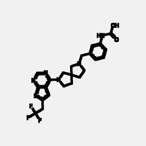 O=C(O)Nc1cccc(CN2CCC3(CCN(c4ncnc5sc(CC(F)(F)F)cc45)C3)C2)c1